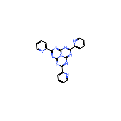 c1ccc(C2=NC3=NC(c4ccccn4)=NC4=NC(c5ccccn5)=NC(=N2)N34)nc1